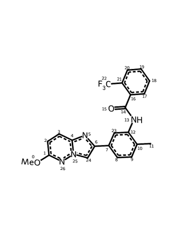 COc1ccc2nc(-c3ccc(C)c(NC(=O)c4ccccc4C(F)(F)F)c3)cn2n1